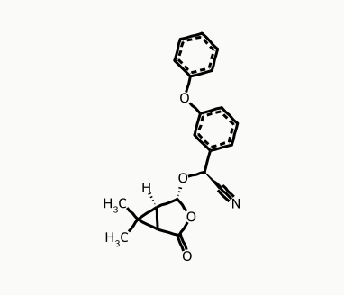 CC1(C)C2C(=O)O[C@@H](O[C@H](C#N)c3cccc(Oc4ccccc4)c3)[C@@H]21